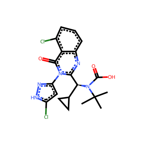 CC(C)(C)N(C(=O)O)[C@H](c1nc2cccc(Cl)c2c(=O)n1-c1cc(Cl)[nH]n1)C1CC1